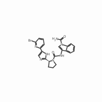 NC(=O)n1cc(NC(=O)N2CCC[C@H]2c2ncc(-c3cccc(Br)n3)[nH]2)c2ccccc21